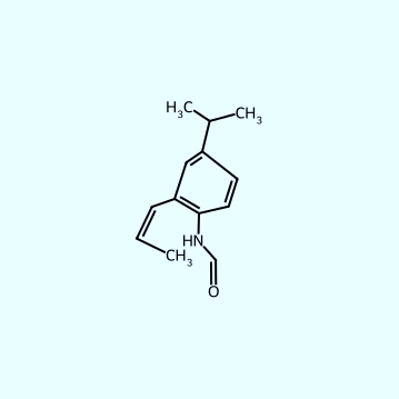 C/C=C\c1cc(C(C)C)ccc1NC=O